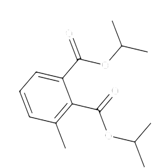 Cc1cccc(C(=O)OC(C)C)c1C(=O)OC(C)C